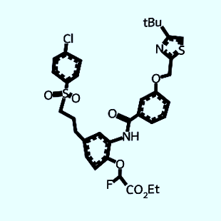 CCOC(=O)C(F)Oc1ccc(CCCS(=O)(=O)c2ccc(Cl)cc2)cc1NC(=O)c1cccc(OCc2nc(C(C)(C)C)cs2)c1